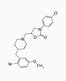 COc1ccc(Br)c(CC2CCN(CC3CN(c4ccc(Cl)cc4)C(=O)O3)CC2)c1